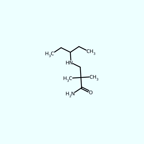 CCC(CC)NCC(C)(C)C(N)=O